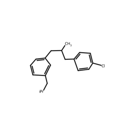 CC(C)Cc1cccc(CC(C)Cc2ccc(Cl)cc2)c1